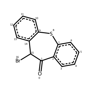 O=C1c2ccccc2Sc2ccccc2C1Br